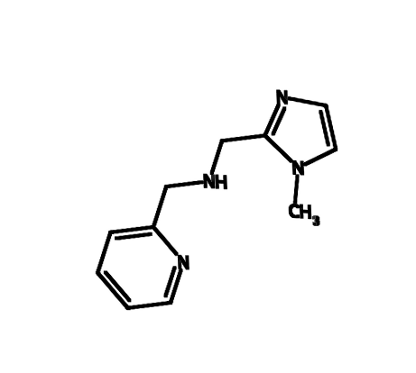 Cn1ccnc1CNCc1ccccn1